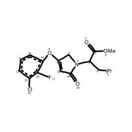 COC(=O)C(CC(C)C)N1CC(Oc2cccc(Cl)c2F)=CC1=O